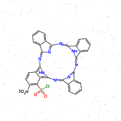 O=S(=O)(O)c1ccc2c3nc4nc(nc5[nH]c(nc6nc(nc([nH]3)c2c1S(=O)(=O)Cl)-c1ccccc1-6)c1ccccc51)-c1ccccc1-4